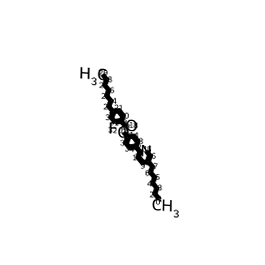 CCCCCCCCc1ccc(-c2ccc(OC(=O)c3ccc(CCCCCCC)cc3F)cc2)nc1